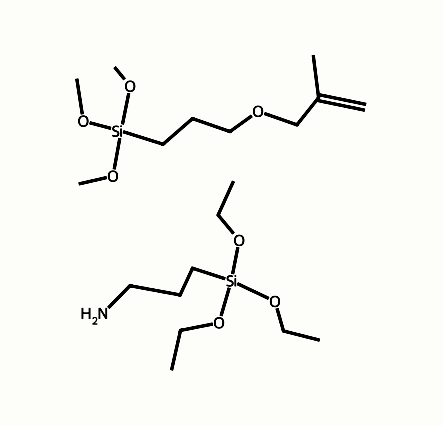 C=C(C)COCCC[Si](OC)(OC)OC.CCO[Si](CCCN)(OCC)OCC